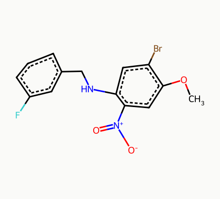 COc1cc([N+](=O)[O-])c(NCc2cccc(F)c2)cc1Br